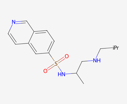 CC(C)CNCC(C)NS(=O)(=O)c1ccc2cnccc2c1